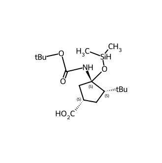 C[SiH](C)O[C@@]1(NC(=O)OC(C)(C)C)C[C@@H](C(=O)O)C[C@H]1C(C)(C)C